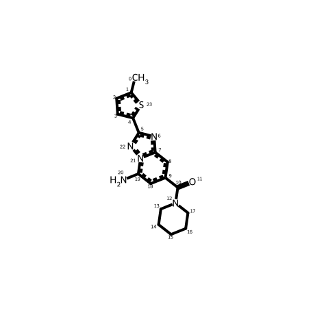 Cc1ccc(-c2nc3cc(C(=O)N4CCCCC4)cc(N)n3n2)s1